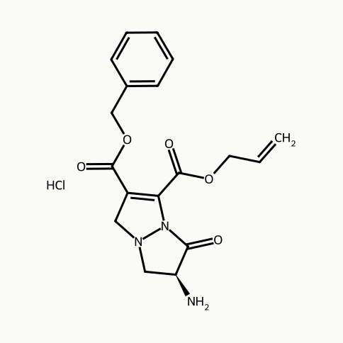 C=CCOC(=O)C1=C(C(=O)OCc2ccccc2)CN2C[C@H](N)C(=O)N12.Cl